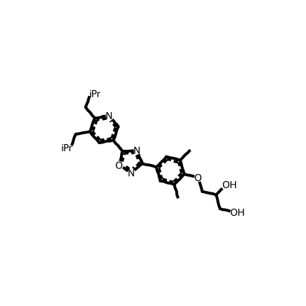 Cc1cc(-c2noc(-c3cnc(CC(C)C)c(CC(C)C)c3)n2)cc(C)c1OCC(O)CO